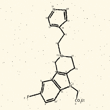 CCOC(=O)Cn1c2c(c3cc(F)ccc31)CN(CCc1ccncc1)CC2